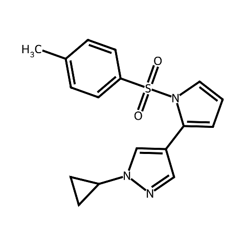 Cc1ccc(S(=O)(=O)n2cccc2-c2cnn(C3CC3)c2)cc1